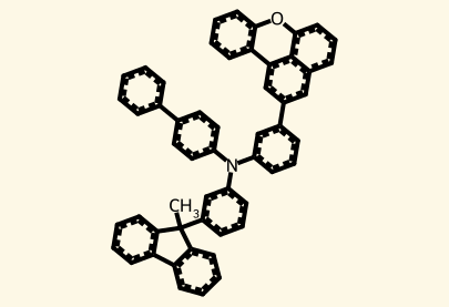 CC1(c2cccc(N(c3ccc(-c4ccccc4)cc3)c3cccc(-c4cc5c6c(cccc6c4)Oc4ccccc4-5)c3)c2)c2ccccc2-c2ccccc21